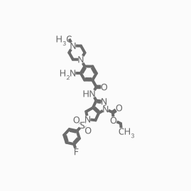 CCOC(=O)n1nc(NC(=O)c2ccc(N3CCN(C)CC3)c(N)c2)c2c1CN(S(=O)(=O)c1cccc(F)c1)C2